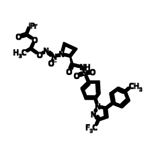 Cc1ccc(-c2cc(C(F)(F)F)nn2-c2ccc(S(=O)(=O)NC(=O)[C@@H]3CCN3[N+]([O-])=NOC(C)OC(=O)C(C)C)cc2)cc1